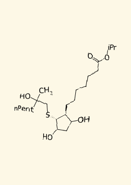 CCCCCC(C)(O)CS[C@H]1C(O)CC(O)[C@@H]1CCCCCCC(=O)OC(C)C